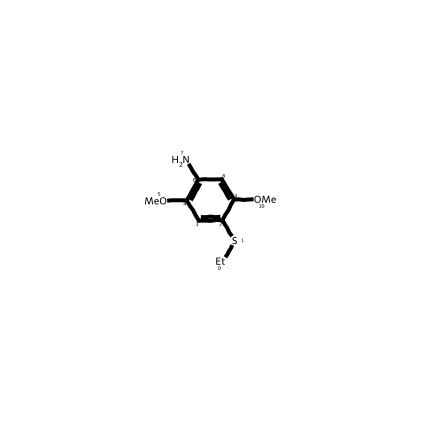 CCSc1cc(OC)c(N)cc1OC